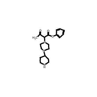 CC(=O)C(C(=O)Oc1ccccc1)N1CCN(C2CCNCC2)CC1